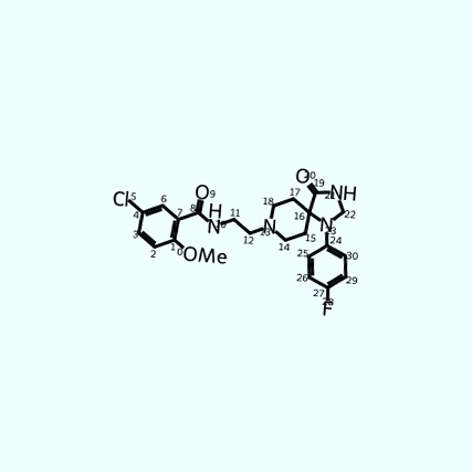 COc1ccc(Cl)cc1C(=O)NCCN1CCC2(CC1)C(=O)NCN2c1ccc(F)cc1